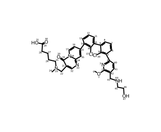 COc1nc(-c2cccc(-c3cccc(-c4ccn5c(=O)c(CN(C)CCCCC(=O)O)cnc5c4)c3Cl)c2Cl)ccc1CNCCO